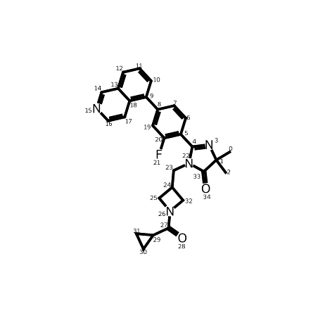 CC1(C)N=C(c2ccc(-c3cccc4cnccc34)cc2F)N(CC2CN(C(=O)C3CC3)C2)C1=O